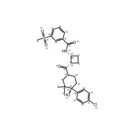 CC1(C)CN(C(=O)[C@H]2CC[C@H]2NC(=O)c2cccc(S(C)(=O)=O)c2)CC[C@]1(O)c1ccc(Cl)cc1